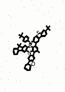 Cc1cc2c3c4c1c1cc5oc6ccccc6c5cc1n4-c1cc4c(cc1B3N(c1ccc(C(C)(C)C)cc1)c1cc3sc5cc(C(C)(C)C)ccc5c3cc1-2)C(C)(C)c1ccccc1-4